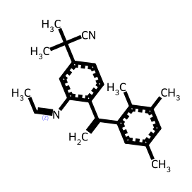 C=C(c1ccc(C(C)(C)C#N)cc1/N=C\C)c1cc(C)cc(C)c1C